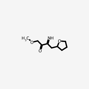 COCC(=O)C(=N)CC1CCCO1